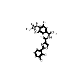 CC(NC(=O)c1coc(-c2cccc(Cl)c2Cl)n1)c1cc(F)c(NS(C)(=O)=O)c(F)c1